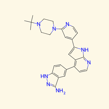 CC(C)(C)N1CCN(c2cc(-c3cc4c(-c5ccc6[nH]nc(N)c6c5)ccnc4[nH]3)ccn2)CC1